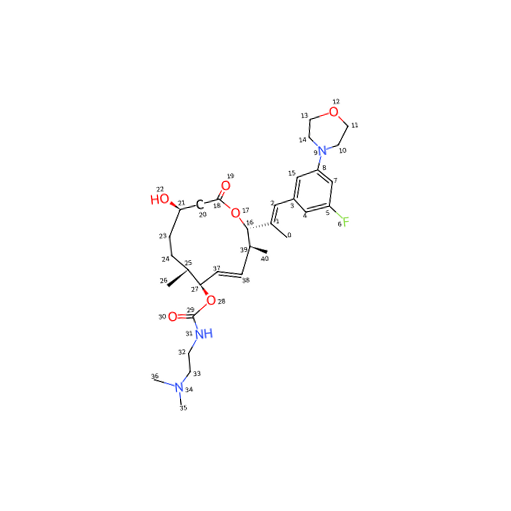 C/C(=C\c1cc(F)cc(N2CCOCC2)c1)[C@H]1OC(=O)C[C@H](O)CC[C@H](C)[C@H](OC(=O)NCCN(C)C)/C=C/[C@@H]1C